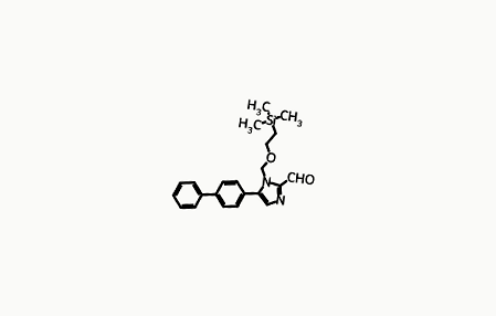 C[Si](C)(C)CCOCn1c(-c2ccc(-c3ccccc3)cc2)cnc1C=O